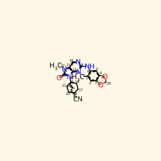 Cc1cc2c(cc1Nc1ncc3c(n1)n(C14CCC(C#N)(CC1)CC4)c(=O)n3C)OCO2